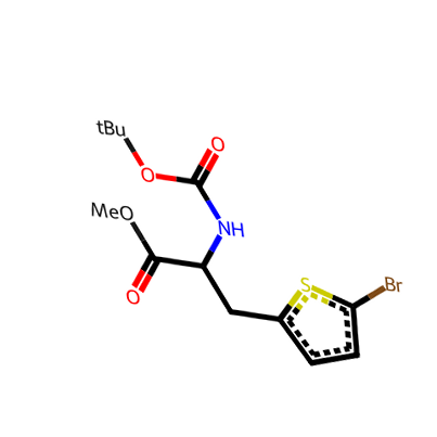 COC(=O)C(Cc1ccc(Br)s1)NC(=O)OC(C)(C)C